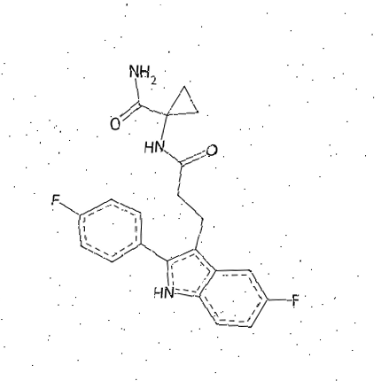 NC(=O)C1(NC(=O)CCc2c(-c3ccc(F)cc3)[nH]c3ccc(F)cc23)CC1